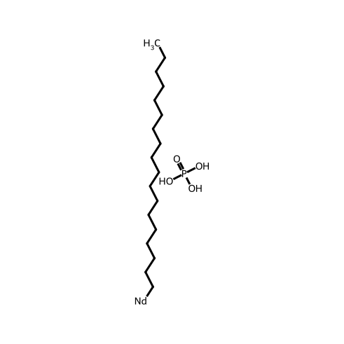 CCCCCCCCCCCCCCCCC[CH2][Nd].O=P(O)(O)O